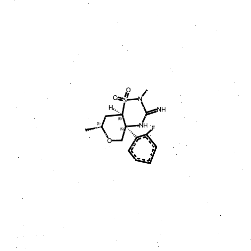 C[C@H]1C[C@@H]2[C@](c3ccccc3F)(CO1)NC(=N)N(C)S2(=O)=O